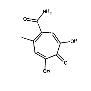 Cc1cc(O)c(=O)c(O)cc1C(N)=O